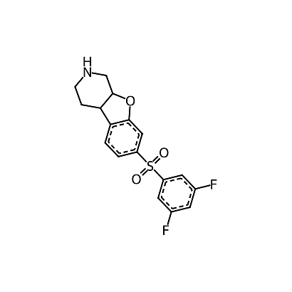 O=S(=O)(c1cc(F)cc(F)c1)c1ccc2c(c1)OC1CNCCC21